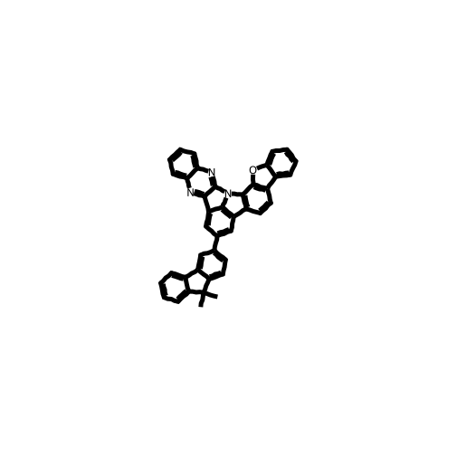 CC1(C)c2ccccc2-c2cc(-c3cc4c5ccc6c7ccccc7oc6c5n5c6nc7ccccc7nc6c(c3)c45)ccc21